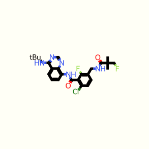 CC(C)(C)Nc1ncnc2c(NC(=O)c3c(Cl)ccc(CNC(=O)C(C)(C)CF)c3F)cccc12